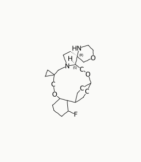 FC1CCCC2OCC3(CC3)CN3CC[C@]4(COCCN4)[C@H]3COC3CCC(CC3)C12